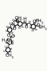 C=C(/C=C\C(=C/C)c1ccc(C)cc1)C(=O)Oc1ccc(CN(CC(=O)O)C(=O)c2ccc(NC(=O)Cc3cccc(OC)c3OC)cc2)cc1